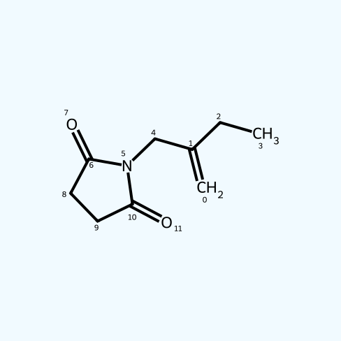 C=C(CC)CN1C(=O)CCC1=O